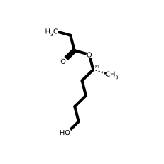 CCC(=O)O[C@H](C)CCCCO